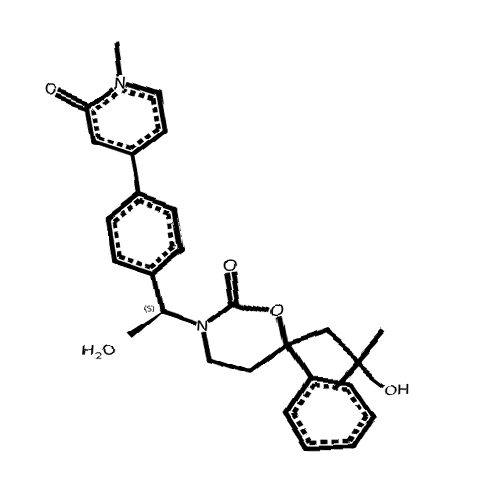 C[C@@H](c1ccc(-c2ccn(C)c(=O)c2)cc1)N1CCC(CC(C)(C)O)(c2ccccc2)OC1=O.O